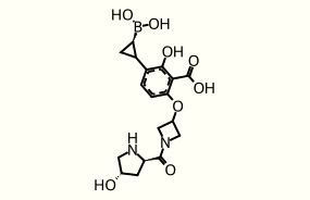 O=C(O)c1c(OC2CN(C(=O)[C@H]3C[C@H](O)CN3)C2)ccc(C2C[C@H]2B(O)O)c1O